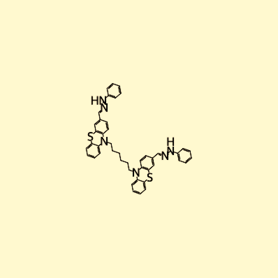 C(=NNc1ccccc1)c1ccc2c(c1)Sc1ccccc1N2CCCCCCN1c2ccccc2Sc2cc(C=NNc3ccccc3)ccc21